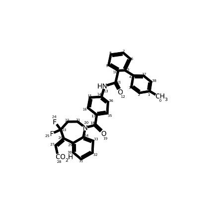 Cc1ccc(-c2ccccc2C(=O)Nc2ccc(C(=O)N3CCC(F)(F)/C(=C/C(=O)O)c4ccccc43)cc2)cc1